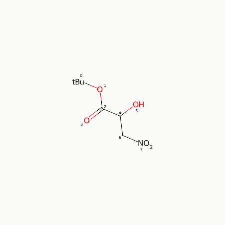 CC(C)(C)OC(=O)C(O)C[N+](=O)[O-]